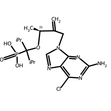 C=C(Cn1cnc2c(Cl)nc(N)nc21)[C@H](C)OC(C(C)C)(C(C)C)P(=O)(O)O